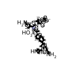 CC(O/N=C(\C(=O)N[C@@H]1C(=O)N(OS(=O)(=O)[O-])C1(C)C)c1csc(N)n1)(C(=O)O)[C@H]1CCc2cc(-c3cn(CC(O)CN)[n+](CC4CNC4)c3)ccc2O1